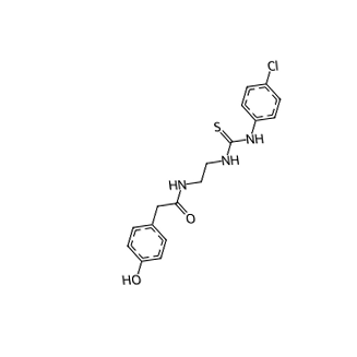 O=C(Cc1ccc(O)cc1)NCCNC(=S)Nc1ccc(Cl)cc1